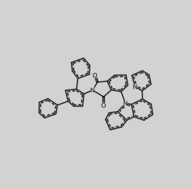 O=C1c2cccc(-n3c4ccccc4c4cccc(-c5ccccn5)c43)c2C(=O)N1c1ccc(-c2ccccc2)cc1-c1ccccc1